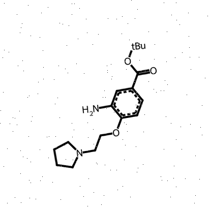 CC(C)(C)OC(=O)c1ccc(OCCN2CCCC2)c(N)c1